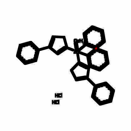 Cl.Cl.[GeH2]=[Zr]([C]1=CC(c2ccccc2)=CC1)([C]1=CC(c2ccccc2)=CC1)([c]1ccccc1)[c]1ccccc1